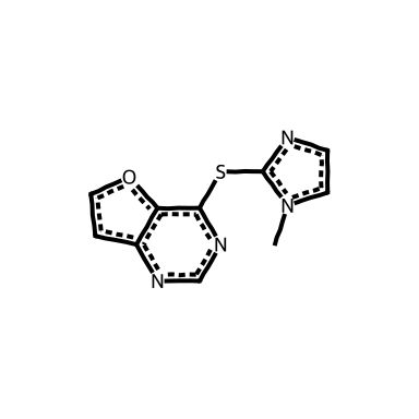 Cn1ccnc1Sc1ncnc2ccoc12